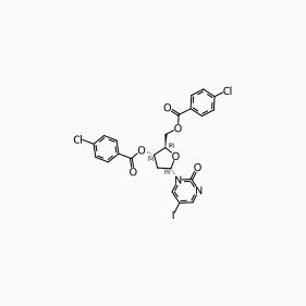 O=C(OC[C@H]1O[C@H](n2cc(I)cnc2=O)C[C@@H]1OC(=O)c1ccc(Cl)cc1)c1ccc(Cl)cc1